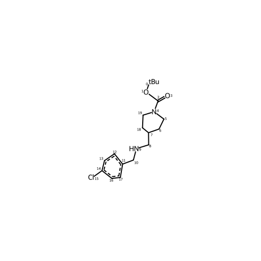 CC(C)(C)OC(=O)N1CCC(CNCc2ccc(Cl)cc2)CC1